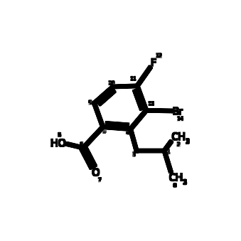 CC(C)Cc1c(C(=O)O)ccc(F)c1Br